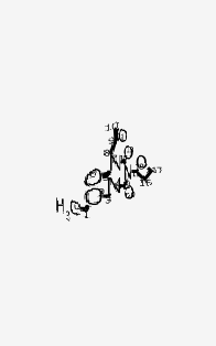 CCOCn1c(=O)n(CC2CO2)c(=O)n(C2CCO2)c1=O